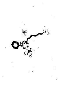 CCCCCCCC(=O)N[C@@H](COP(=O)([O-])[O-])c1ccccc1.[Na+].[Na+]